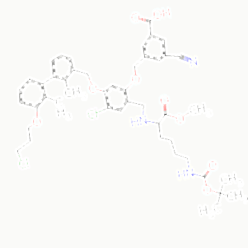 COC(=O)C(CCCCNC(=O)OC(C)(C)C)NCc1cc(Cl)c(OCc2cccc(-c3cccc(OCCCCl)c3C)c2C)cc1OCc1cc(C#N)cc(C(=O)O)c1